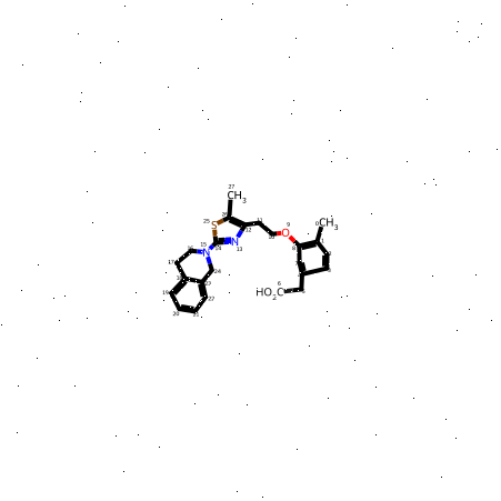 Cc1ccc(CC(=O)O)cc1OCCc1nc(N2CCc3ccccc3C2)sc1C